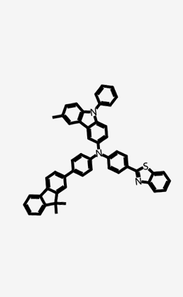 Cc1ccc2c(c1)c1cc(N(c3ccc(-c4ccc5c(c4)C(C)(C)c4ccccc4-5)cc3)c3ccc(-c4nc5ccccc5s4)cc3)ccc1n2-c1ccccc1